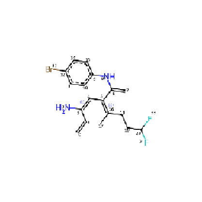 C=C/C(N)=C\C(C(=C)Nc1ccc(Br)cc1)=C(/C)CCC(F)F